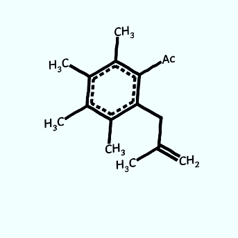 C=C(C)Cc1c(C)c(C)c(C)c(C)c1C(C)=O